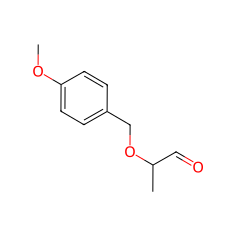 COc1ccc(COC(C)C=O)cc1